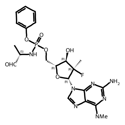 CNc1nc(N)nc2c1ncn2[C@@H]1O[C@H](COP(=O)(N[C@@H](C)C=O)Oc2ccccc2)[C@@H](O)[C@@]1(C)F